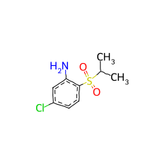 CC(C)S(=O)(=O)c1ccc(Cl)cc1N